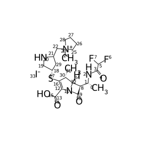 C[C@@H](NC(=O)C(F)F)[C@H]1C(=O)N2C(C(=O)O)=C(S[C@@H]3CNC(C[N+]4(C)CCCC4)C3)[C@H](C)[C@H]12.[I-]